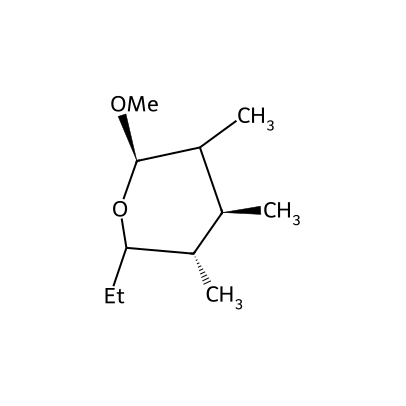 CCC1O[C@@H](OC)C(C)[C@@H](C)[C@@H]1C